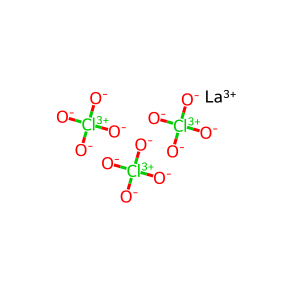 [La+3].[O-][Cl+3]([O-])([O-])[O-].[O-][Cl+3]([O-])([O-])[O-].[O-][Cl+3]([O-])([O-])[O-]